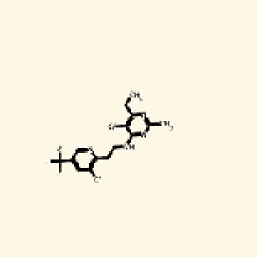 CCc1nc(C)nc(NCCc2ncc(C(F)(F)F)cc2Cl)c1Cl